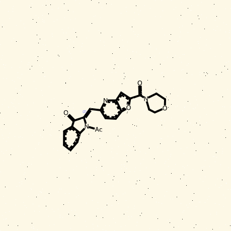 CC(=O)N1/C(=C\c2ccc3oc(C(=O)N4CCOCC4)cc3n2)C(=O)c2ccccc21